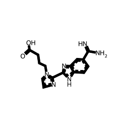 N=C(N)c1ccc2[nH]c(-c3nccn3CCCC(=O)O)nc2c1